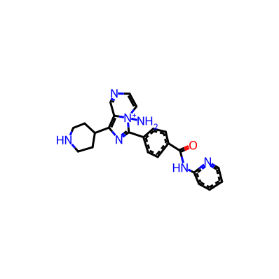 N[N+]12C=CN=CC1=C(C1CCNCC1)N=C2c1ccc(C(=O)Nc2ccccn2)cc1